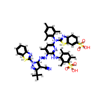 Cc1cc(C)c(N(c2cc(C)c(N=Nc3c(C#N)c(C(C)(C)C)nn3-c3nc4ccccc4s3)c(Nc3c(C)cc(C)c(S(=O)(=O)O)c3C)n2)c2nc3ccc(S(=O)(=O)O)cc3s2)c(C)c1